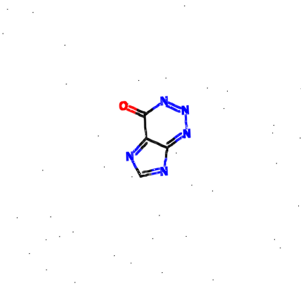 O=C1N=NN=C2N=CN=C12